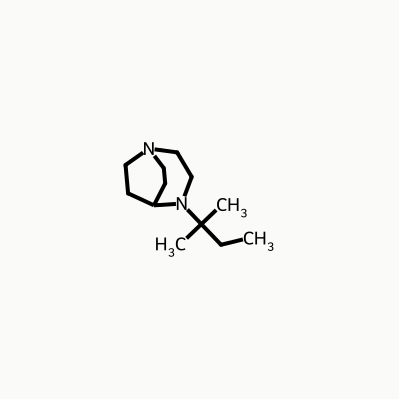 CCC(C)(C)N1CCN2CCC1CC2